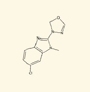 Cn1c(N2COC=N2)nc2ccc(Cl)cc21